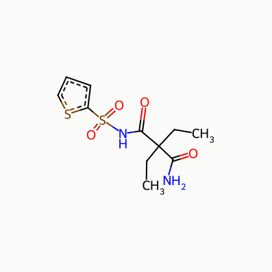 CCC(CC)(C(N)=O)C(=O)NS(=O)(=O)c1cccs1